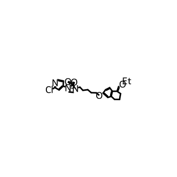 CCOC=C1CCCc2cc(OCCCCCN3CCN(c4ccnc(Cl)c4)S3(=O)=O)ccc21